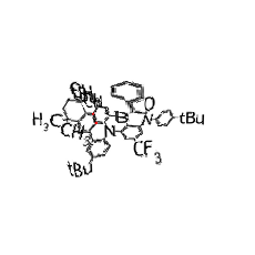 CC(C)(C)c1ccc(N2c3cc(C(F)(F)F)cc4c3B(c3cc(C(C)(C)C)ccc3N4c3ccc(C(C)(C)C)cc3-c3ccc4c(c3)C(C)(C)CCC4(C)C)c3c2oc2ccccc32)cc1